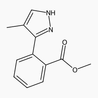 COC(=O)c1ccccc1-c1n[nH]cc1C